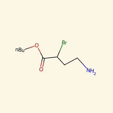 CCCCOC(=O)C(Br)CCN